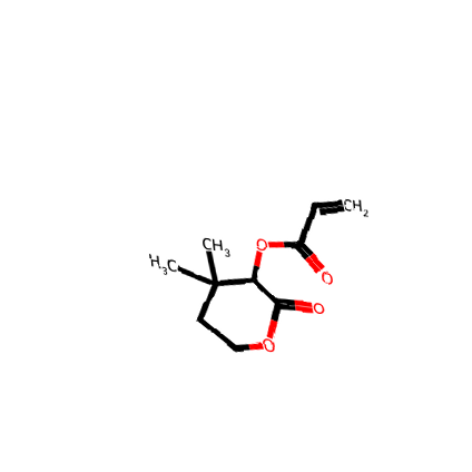 C=CC(=O)OC1C(=O)OCCC1(C)C